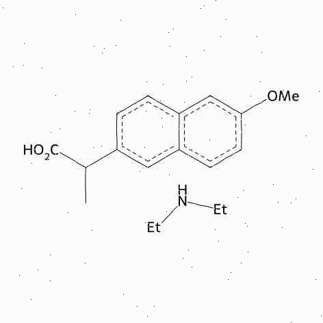 CCNCC.COc1ccc2cc(C(C)C(=O)O)ccc2c1